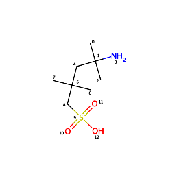 CC(C)(N)CC(C)(C)CS(=O)(=O)O